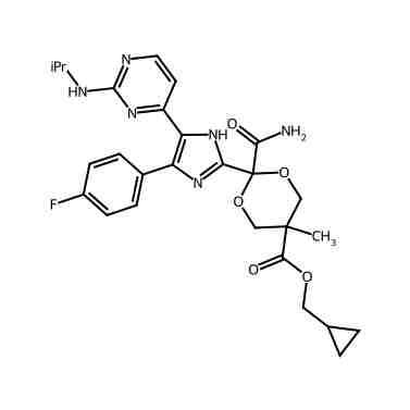 CC(C)Nc1nccc(-c2[nH]c(C3(C(N)=O)OCC(C)(C(=O)OCC4CC4)CO3)nc2-c2ccc(F)cc2)n1